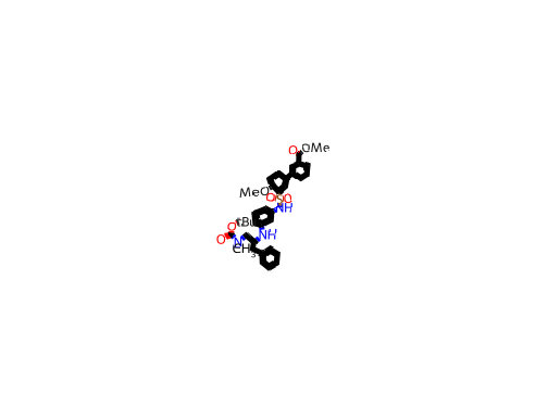 COC(=O)c1cccc(-c2ccc(OC)c(S(=O)(=O)Nc3cccc(NC(Cc4ccccc4)CN(C)C(=O)OC(C)(C)C)c3)c2)c1